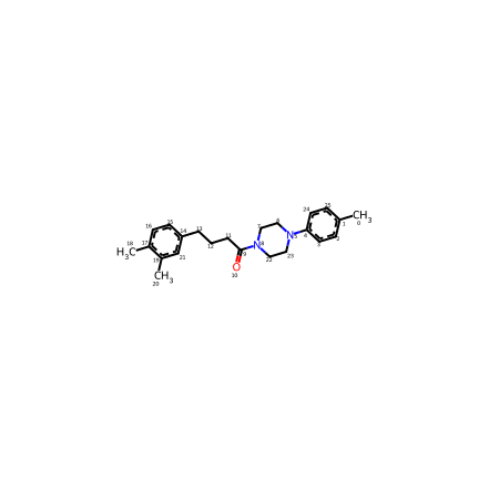 Cc1ccc(N2CCN(C(=O)CCCc3ccc(C)c(C)c3)CC2)cc1